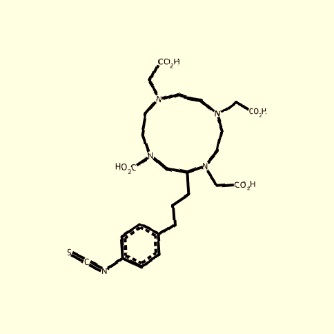 O=C(O)CN1CCN(CC(=O)O)CCN(CC(=O)O)C(CCCc2ccc(N=C=S)cc2)CN(C(=O)O)CC1